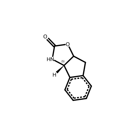 O=C1N[C@H]2c3ccccc3CC2O1